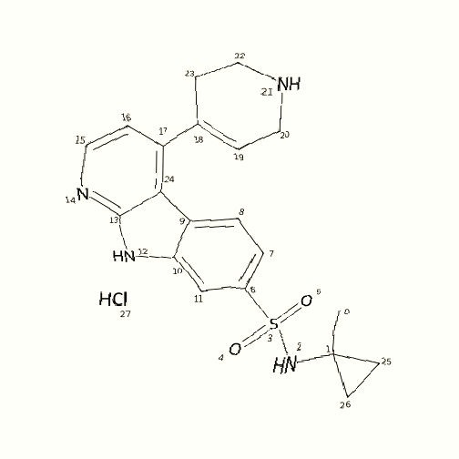 CC1(NS(=O)(=O)c2ccc3c(c2)[nH]c2nccc(C4=CCNCC4)c23)CC1.Cl